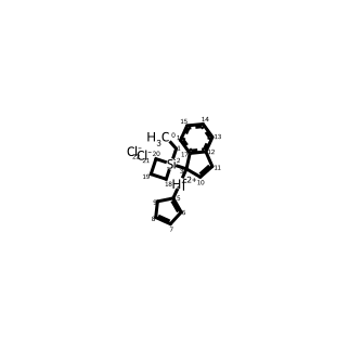 CC[Si]1([C]2([Hf+2][C]3=CC=CC3)C=Cc3ccccc32)CCC1.[Cl-].[Cl-]